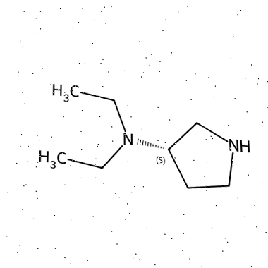 CCN(CC)[C@H]1CCNC1